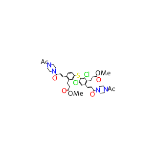 COC(=O)CCc1c(/C=C/C(=O)N2CCN(C(C)=O)CC2)ccc(Sc2ccc(/C=C/C(=O)N3CCN(C(C)=O)CC3)c(CCC(=O)OC)c2Cl)c1Cl